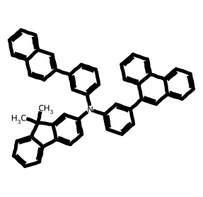 CC1(C)c2ccccc2-c2ccc(N(c3cccc(-c4ccc5ccccc5c4)c3)c3cccc(-c4cc5ccccc5c5ccccc45)c3)cc21